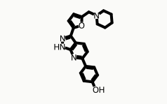 Oc1ccc(-c2ccc3c(-c4ccc(CN5CCCCC5)o4)n[nH]c3n2)cc1